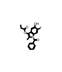 CCC(=O)Oc1c(C)n(C(=O)c2ccccc2)c2cc(F)c(O)cc12